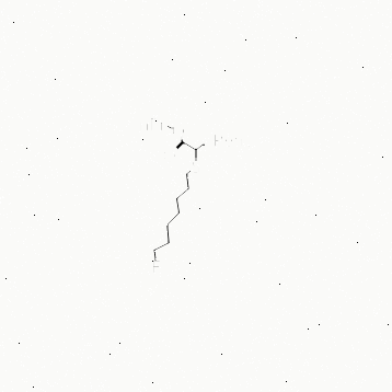 CCCCCC(SCCCCCCCF)C(=O)OCCC